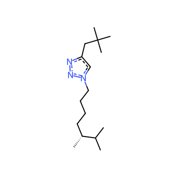 CC(C)[C@H](C)CCCCn1cc(CC(C)(C)C)nn1